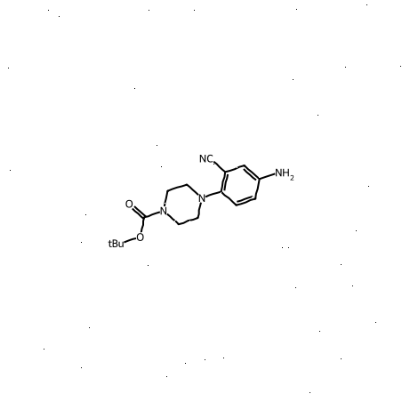 CC(C)(C)OC(=O)N1CCN(c2ccc(N)cc2C#N)CC1